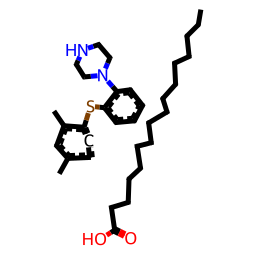 CCCCCCCCCCCCCCCC(=O)O.Cc1ccc(Sc2ccccc2N2CCNCC2)c(C)c1